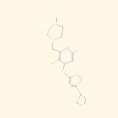 Cc1c(CN2CCN(C(=O)O)[C@@H](C)C2)cc(Cl)cc1Nc1nnc(C2COC2)o1